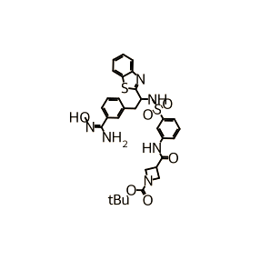 CC(C)(C)OC(=O)N1CC(C(=O)Nc2cccc(S(=O)(=O)NC(Cc3cccc(/C(N)=N\O)c3)c3nc4ccccc4s3)c2)C1